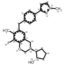 Cc1c(Cc2ccc(-c3ccn(C)n3)cc2)cc2c(c1F)OCN([C@H]1CCC[C@@H]1O)C2